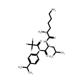 CC(C)C[C@H](NC(=O)[C@@H](N)CCCCN)C(=O)N(C(=O)C(F)(F)F)c1ccc(C(C)C)cc1